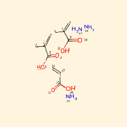 C=C(C)C(=O)O.C=C(C)C(=O)O.C=CC(=O)O.N.N.N